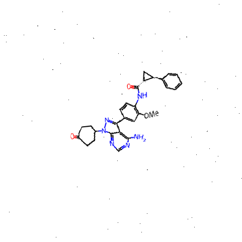 COc1cc(-c2nn(C3CCC(=O)CC3)c3ncnc(N)c23)ccc1NC(=O)[C@@H]1C[C@H]1c1ccccc1